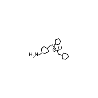 NCC1CCC(CN(OC(=O)CC2CCCCC2)C2CCCC2)CC1